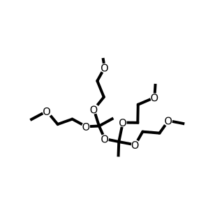 COCCOC(C)(OCCOC)OC(C)(OCCOC)OCCOC